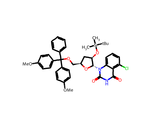 COc1ccc(C(OC[C@H]2[CH][C@@H](O[Si](C)(C)C(C)(C)C)[C@H](n3c(=O)[nH]c(=O)c4c(Cl)cccc43)O2)(c2ccccc2)c2ccc(OC)cc2)cc1